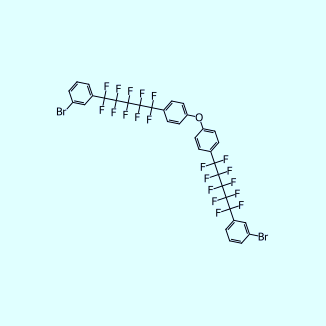 FC(F)(c1ccc(Oc2ccc(C(F)(F)C(F)(F)C(F)(F)C(F)(F)C(F)(F)c3cccc(Br)c3)cc2)cc1)C(F)(F)C(F)(F)C(F)(F)C(F)(F)c1cccc(Br)c1